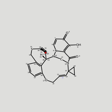 O=C1c2c(O)c(=O)ccn2N2CN1C1(/C=C/COc3cccc4c3[C@@H]2c2ccccc2SC4)CC1